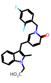 Cc1c(Cc2ccc(=O)n(Cc3ccc(F)cc3F)c2)c2ccccc2n1CC(=O)O